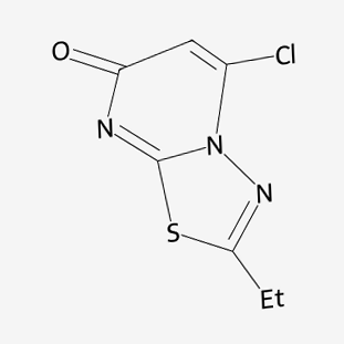 CCc1nn2c(Cl)cc(=O)nc2s1